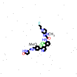 COc1cc(-c2nccc(-c3cccc(NC(=O)c4nc5c(n4C)CCN(CCCF)C5)c3Cl)c2Cl)ccc1CNC[C@@H]1CCC(=O)N1